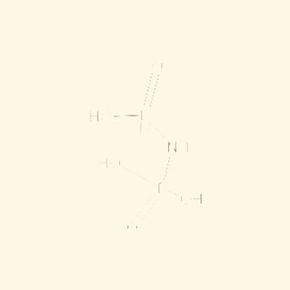 O=[PH](O)NP(=O)(O)O